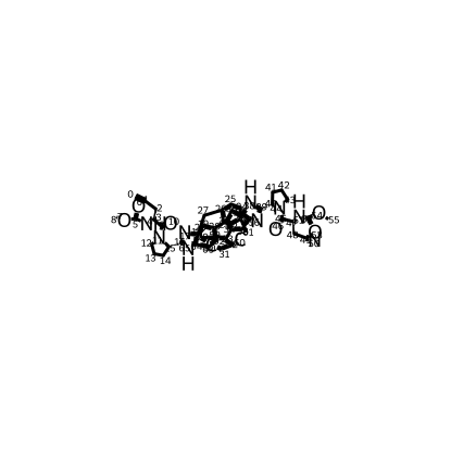 C#CC[C@H](NC(=O)OC)C(=O)N1CCC[C@H]1c1nc2cc(-c3cc4ccc3CCc3ccc(c(-c5ccc6[nH]c([C@@H]7CCCN7C(=O)[C@H](CC#N)NC(=O)OC)nc6c5)c3)CC4)ccc2[nH]1